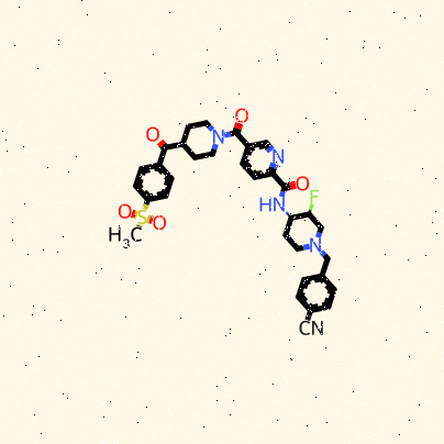 CS(=O)(=O)c1ccc(C(=O)C2CCN(C(=O)c3ccc(C(=O)N[C@H]4CCN(Cc5ccc(C#N)cc5)C[C@@H]4F)nc3)CC2)cc1